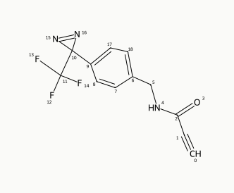 C#CC(=O)NCc1ccc(C2(C(F)(F)F)N=N2)cc1